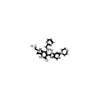 CCn1cc2[nH]c(=O)c(-c3nc4cnc(N5CCOCC5)cc4[nH]3)c(NCc3ncccn3)c2n1